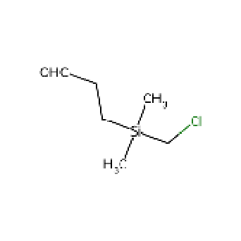 C[Si](C)(CCl)CCC=O